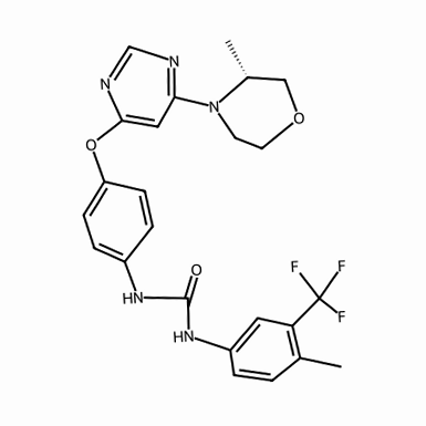 Cc1ccc(NC(=O)Nc2ccc(Oc3cc(N4CCOC[C@H]4C)ncn3)cc2)cc1C(F)(F)F